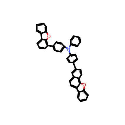 c1ccc(N(c2ccc(-c3ccc4c(ccc5c6ccccc6oc45)c3)cc2)c2ccc(-c3cccc4c3oc3ccccc34)cc2)cc1